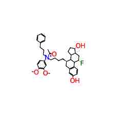 COc1ccc([N+](CCCC[C@@H]2Cc3cc(O)ccc3C3C2C2CC[C@H](O)[C@@]2(C)C[C@@H]3F)(CCCc2ccccc2)C(C)=O)cc1OC